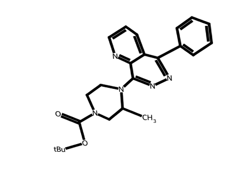 CC1CN(C(=O)OC(C)(C)C)CCN1c1nnc(-c2ccccc2)c2cccnc12